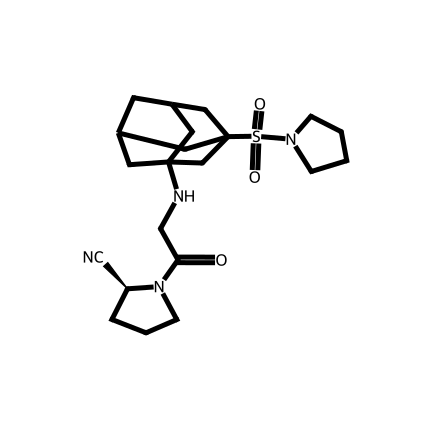 N#C[C@@H]1CCCN1C(=O)CNC12CC3CC(C1)CC(S(=O)(=O)N1CCCC1)(C3)C2